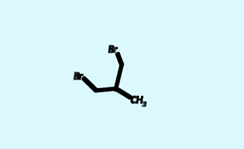 C[C](CBr)CBr